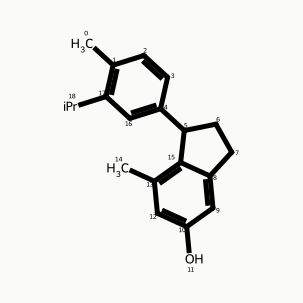 Cc1ccc(C2CCc3cc(O)cc(C)c32)cc1C(C)C